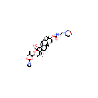 CC(C)[C@@H](OC(=O)N1CCC1)[C@H]1C[C@@H](C)[C@H]2[C@H](O1)[C@H](O)[C@@]1(C)[C@@H]3CC[C@H]4C(C)(C)[C@@H](OC(=O)NCCN5CCOCC5)CC[C@@]45CC35CC[C@]21C